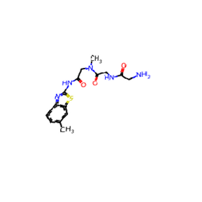 Cc1ccc2nc(NC(=O)CN(C)C(=O)CNC(=O)CN)sc2c1